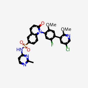 COc1cc(-c2cc(Cl)cnc2OC)c(F)cc1-n1c(=O)ccc2cc(S(=O)(=O)Nc3ccnc(C)n3)ccc21